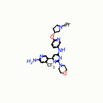 CC(C)N1CC[C@H](Oc2ccc(Nc3cc(-c4cnc(N)cc4C(F)(F)F)nc(N4CCOCC4)n3)cn2)C1